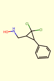 ONCC1C(c2ccccc2)C1(Cl)Cl